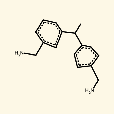 CC(c1ccc(CN)cc1)c1cccc(CN)c1